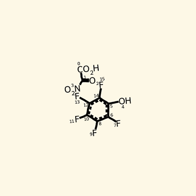 O=C(O)C(=O)[N+](=O)[O-].Oc1c(F)c(F)c(F)c(F)c1F